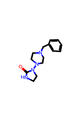 O=C1NCCN1N1CCN(Cc2ccccc2)CC1